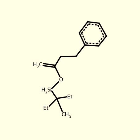 C=C(CCc1ccccc1)O[SiH2]C(C)(CC)CC